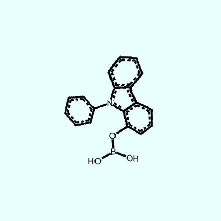 OB(O)Oc1cccc2c3ccccc3n(-c3ccccc3)c12